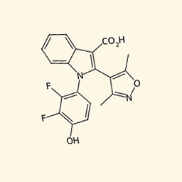 Cc1noc(C)c1-c1c(C(=O)O)c2ccccc2n1-c1ccc(O)c(F)c1F